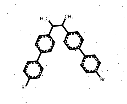 CC(c1ccc(-c2ccc(Br)cc2)cc1)C(C)c1ccc(-c2ccc(Br)cc2)cc1